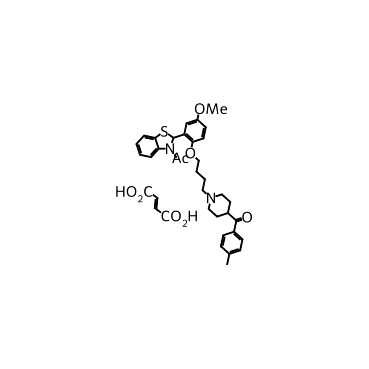 COc1ccc(OCCCCN2CCC(C(=O)c3ccc(C)cc3)CC2)c(C2Sc3ccccc3N2C(C)=O)c1.O=C(O)C=CC(=O)O